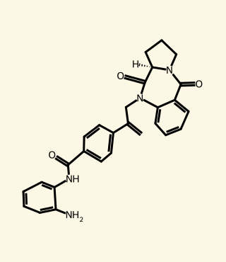 C=C(CN1C(=O)[C@H]2CCCN2C(=O)c2ccccc21)c1ccc(C(=O)Nc2ccccc2N)cc1